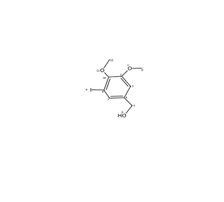 COc1cc(CO)cc(I)c1OC